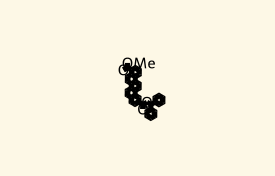 COC(=O)c1cccc2c1ccc1c2ccc2c3cc(C(=O)OC(c4ccccc4)c4ccccc4)ccc3ccc21